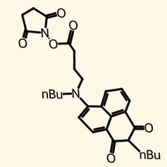 CCCCC1C(=O)c2cccc3c(N(CCCC)CCCC(=O)ON4C(=O)CCC4=O)ccc(c23)C1=O